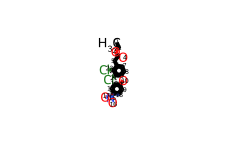 CCOC(=O)Cc1ccc(Oc2ccc([N+](=O)[O-])cc2)c(Cl)c1Cl